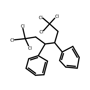 ClC(Cl)(Cl)CC(c1ccccc1)C(CC(Cl)(Cl)Cl)c1ccccc1